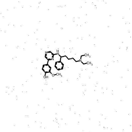 CCN(CC)CCCCC(Nc1cncc(-c2ccc(O)c(OC)c2)n1)c1ccccc1